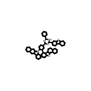 c1ccc(C2N=C(c3ccc(-n4c5ccccc5c5cc6ccccc6cc54)c(-c4cccc5oc6c7ccccc7ccc6c45)c3)N=C(c3ccc4c(c3)sc3ccccc34)N2)cc1